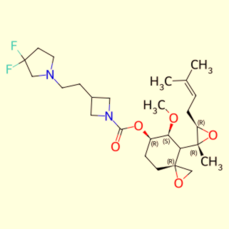 CO[C@H]1C([C@@]2(C)O[C@@H]2CC=C(C)C)[C@]2(CC[C@H]1OC(=O)N1CC(CCN3CCC(F)(F)C3)C1)CO2